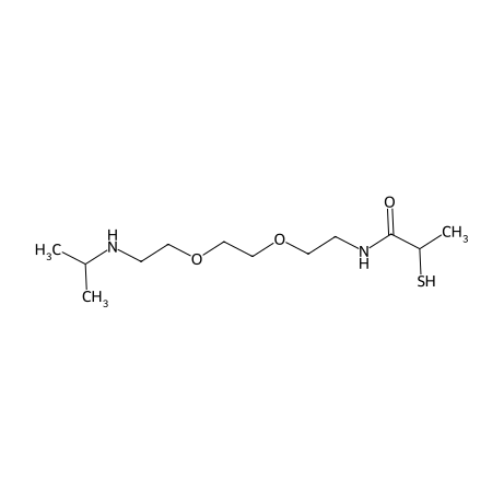 CC(C)NCCOCCOCCNC(=O)C(C)S